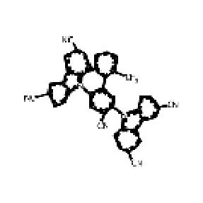 N#Cc1ccc2c(c1)c1cc(C#N)ccc1n2-c1cc(-c2c(C(F)(F)F)cccc2C(F)(F)F)c(-n2c3ccc(C#N)cc3c3cc(C#N)ccc32)cc1C#N